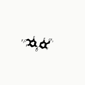 [O-][S+](c1cc(F)c(CC(F)(F)F)c(F)c1)c1cc(F)c(CC(F)(F)F)c(F)c1